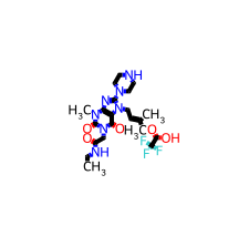 CCNC(=O)Cn1c(=O)c2c(nc(N3CCNCC3)n2CC=C(C)C)n(C)c1=O.O=C(O)C(F)(F)F